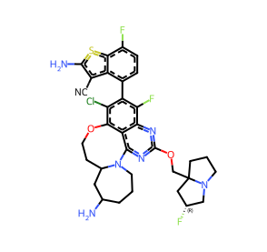 N#Cc1c(N)sc2c(F)ccc(-c3c(Cl)c4c5c(nc(OCC67CCCN6C[C@H](F)C7)nc5c3F)N3CCCC(N)CC3CCO4)c12